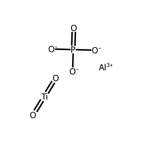 O=P([O-])([O-])[O-].[Al+3].[O]=[Ti]=[O]